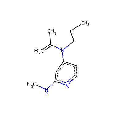 C=C(C)N(CCC)c1ccnc(NC)c1